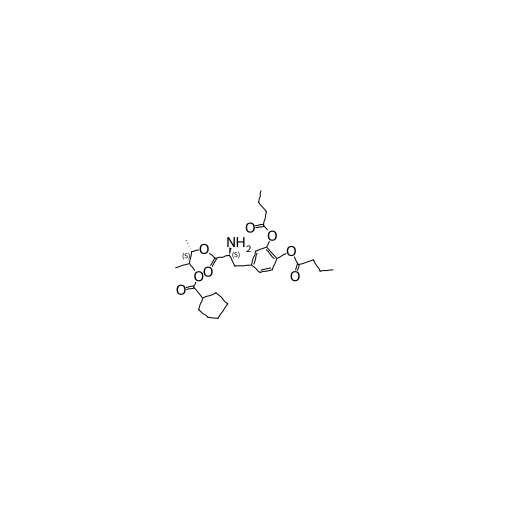 CCCC(=O)Oc1ccc(C[C@H](N)C(=O)O[C@@H](C)C(C)OC(=O)C2CCCCC2)cc1OC(=O)CCC